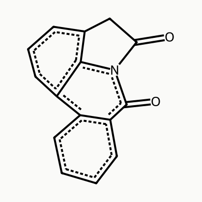 O=C1Cc2cccc3c4ccccc4c(=O)n1c23